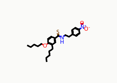 CCCCCOc1ccc(C(=S)NCCc2ccc([N+](=O)[O-])cc2)cc1CCCCC